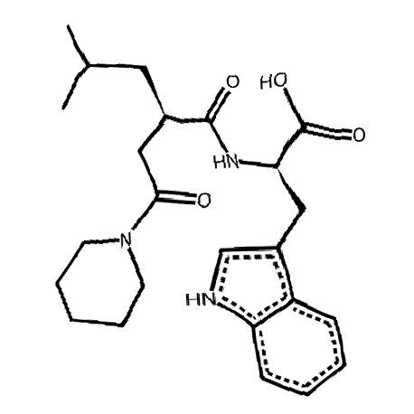 CC(C)C[C@H](CC(=O)N1CCCCC1)C(=O)N[C@H](Cc1c[nH]c2ccccc12)C(=O)O